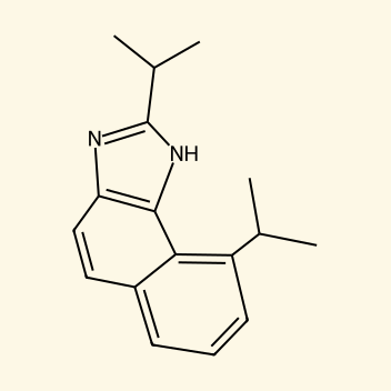 CC(C)c1nc2ccc3cccc(C(C)C)c3c2[nH]1